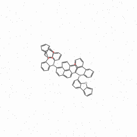 c1ccc(-c2ccccc2B(c2ccc3ccc4c(N(c5ccccc5-c5ccccc5)c5cccc6c5oc5ccccc56)ccc5ccc2c3c54)c2cccc3c2oc2ccccc23)cc1